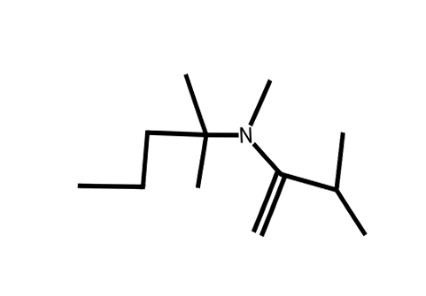 C=C(C(C)C)N(C)C(C)(C)CCC